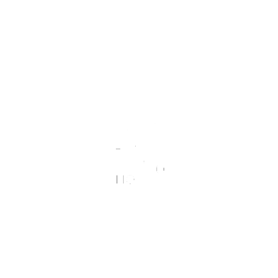 CC1=C(C)C2CC1CC2(F)C(=O)O